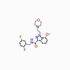 COc1cccc2c(C(=O)NCc3cc(F)ccc3F)nn(CCN3CCOCC3)c12